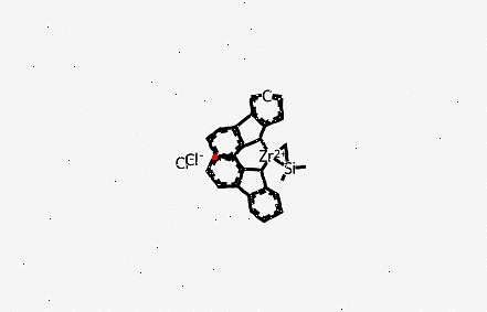 C[Si]1(C)[CH2][Zr+2]1([CH]1c2ccccc2-c2ccccc21)[CH]1c2ccccc2-c2ccccc21.[Cl-].[Cl-]